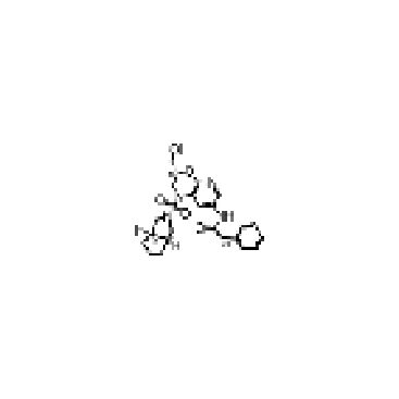 C[C@H](C(=O)Nc1cnc2c(c1)N(S(=O)(=O)N1C[C@H]3CCC[C@H]3C1)C[C@H](CO)O2)c1ccccc1